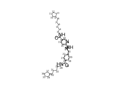 O=C(NCCCCCCC1CCCC1)c1ccc(NN=Cc2ccc(C(=O)NCCCCCC3CCCC3)cc2)nc1